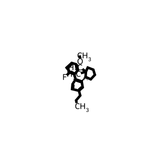 CCCc1ccc(-c2cc(OC)ccc2F)c([C@@H]2CCCCC2(C)C)c1